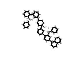 CC1(c2cccc(-c3ccc(-c4cccc5ccccc45)cc3Nc3ccccc3)c2)C=CC(c2cccc(-c3ccccc3Nc3ccccc3)c2)=CC1